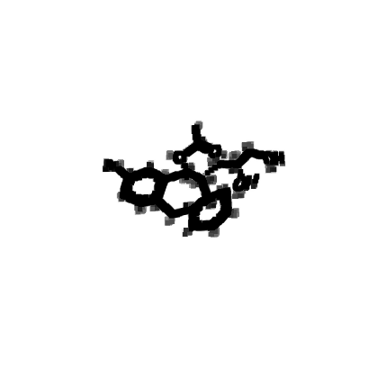 CC(=O)O[C@H]1c2cc(Br)ccc2Cc2ccccc2[C@H]1C[C@@H](O)CO